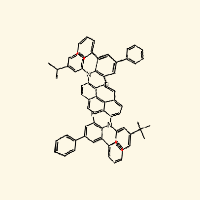 CC(C)c1cccc(N(c2c(F)cc(-c3ccccc3)cc2-c2ccccc2)c2ccc3ccc4c(N(c5cccc(C(C)(C)C)c5)c5c(F)cc(-c6ccccc6)cc5-c5ccccc5)ccc5ccc2c3c54)c1